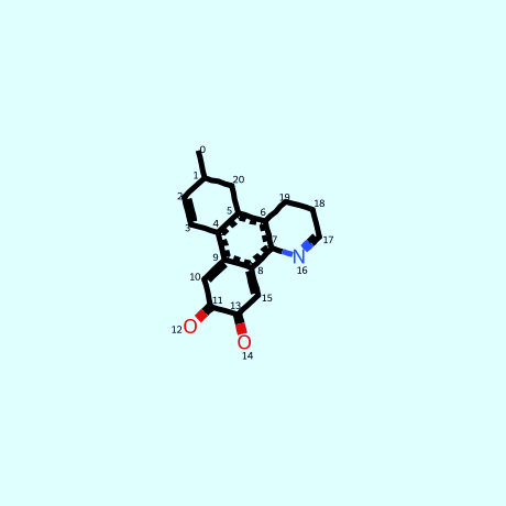 CC1C=Cc2c(c3c(c4c2=CC(=O)C(=O)C=4)N=CCC3)C1